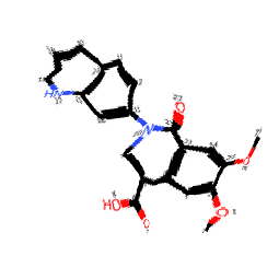 COc1cc2c(C(=O)O)cn(-c3ccc4c(c3)NCCC4)c(=O)c2cc1OC